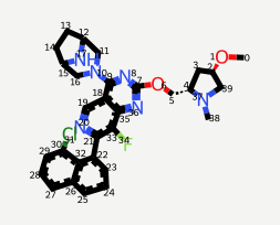 CO[C@@H]1C[C@@H](COc2nc(N3CC4CCC(C3)N4)c3cnc(-c4cccc5cccc(Cl)c45)c(F)c3n2)N(C)C1